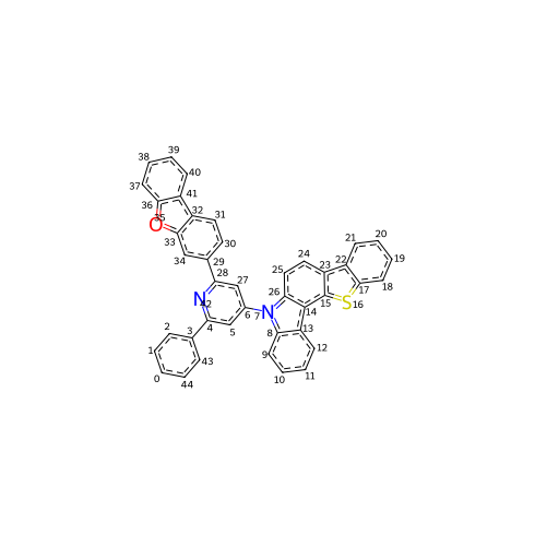 c1ccc(-c2cc(-n3c4ccccc4c4c5sc6ccccc6c5ccc43)cc(-c3ccc4c(c3)oc3ccccc34)n2)cc1